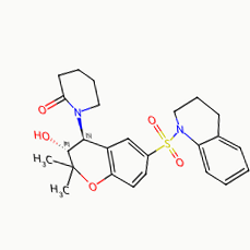 CC1(C)Oc2ccc(S(=O)(=O)N3CCCc4ccccc43)cc2[C@H](N2CCCCC2=O)[C@H]1O